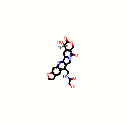 CC[C@@]1(O)C(=O)OCc2c1cc1n(c2=O)Cc2c-1nc1cc3c(cc1c2CNC(=O)CO)CCO3